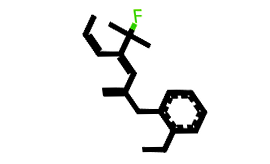 C=C(/C=C(\C=C/C)C(C)(C)F)Cc1ccccc1CC